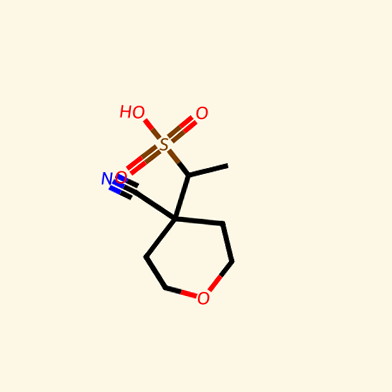 CC(C1(C#N)CCOCC1)S(=O)(=O)O